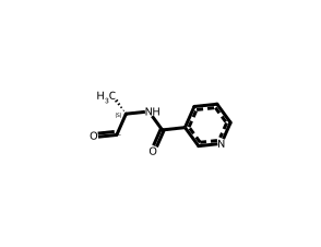 C[C@@H]([C]=O)NC(=O)c1cccnc1